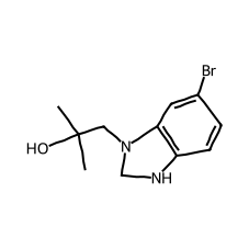 CC(C)(O)CN1CNc2ccc(Br)cc21